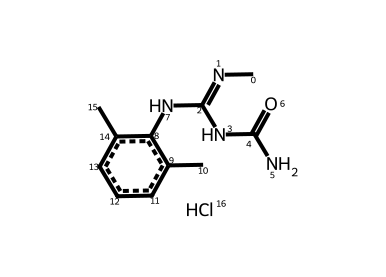 C/N=C(\NC(N)=O)Nc1c(C)cccc1C.Cl